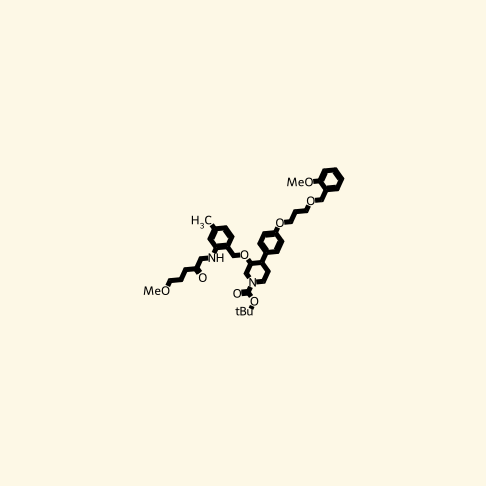 COCCCC(=O)CNc1cc(C)ccc1COC1CN(C(=O)OC(C)(C)C)CCC1c1ccc(OCCCOCc2ccccc2OC)cc1